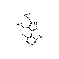 OCc1c(-c2c(F)cccc2Br)noc1C1CC1